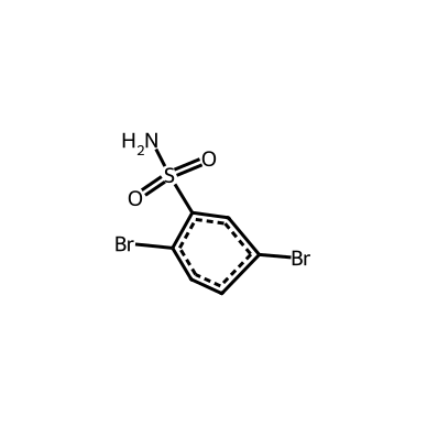 NS(=O)(=O)c1cc(Br)ccc1Br